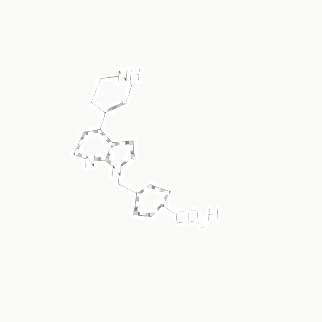 O=C(O)c1ccc(Cn2ccc3c(C4=CCNCC4)ccnc32)cc1